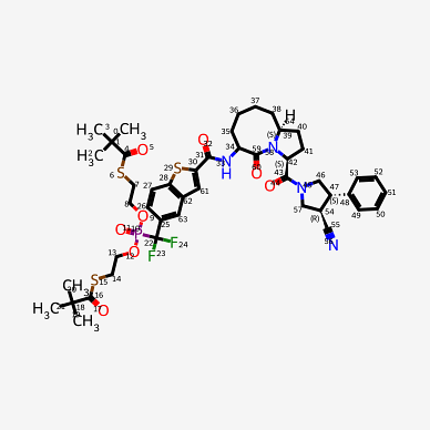 CC(C)(C)C(=O)SCCOP(=O)(OCCSC(=O)C(C)(C)C)C(F)(F)c1ccc2sc(C(=O)NC3CCCC[C@H]4CC[C@@H](C(=O)N5C[C@H](c6ccccc6)[C@@H](C#N)C5)N4C3=O)cc2c1